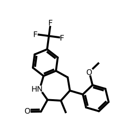 COc1ccccc1C1Cc2cc(C(F)(F)F)ccc2NC(C=O)C1C